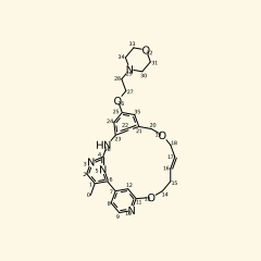 Cc1cnc2nc1-c1ccnc(c1)OCC/C=C/COCc1cc(cc(OCCN3CCOCC3)c1)N2